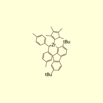 CC1=C(C)C(C)[C]([Zr](=[C](c2ccc(C)cc2)c2ccc(C)cc2)[c]2c(C(C)(C)C)ccc3c2Cc2cc(C(C)(C)C)ccc2-3)=C1C